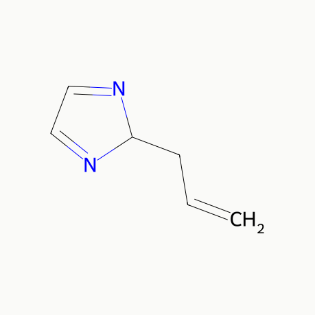 C=CCC1N=CC=N1